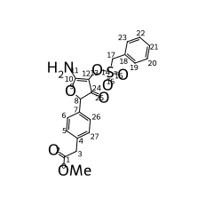 COC(=O)Cc1ccc(C2OC(N)=C(OS(=O)(=O)Cc3ccccc3)C2=O)cc1